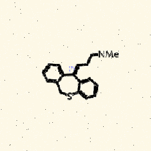 CNCC/C=C1/c2ccccc2CSc2ccccc21